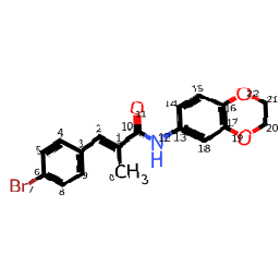 C/C(=C\c1ccc(Br)cc1)C(=O)Nc1ccc2c(c1)OCCO2